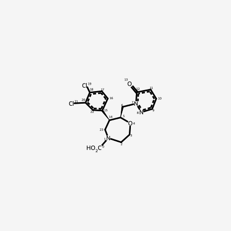 O=C(O)N1CCO[C@H](Cn2ncccc2=O)[C@H](c2ccc(Cl)c(Cl)c2)C1